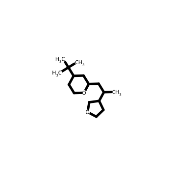 CC(CC1CC(C(C)(C)C)CCO1)C1CCOC1